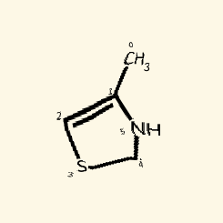 CC1=CS[CH]N1